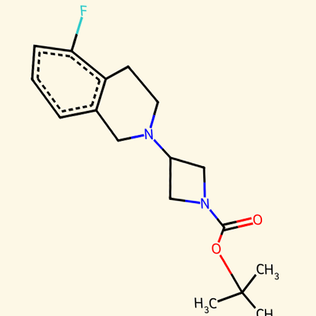 CC(C)(C)OC(=O)N1CC(N2CCc3c(F)cccc3C2)C1